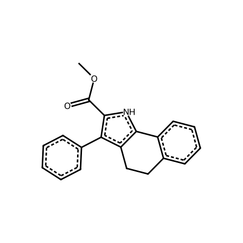 COC(=O)c1[nH]c2c(c1-c1ccccc1)CCc1ccccc1-2